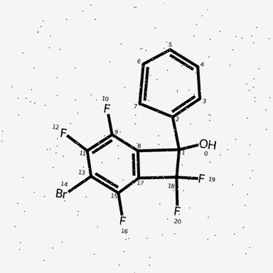 OC1(c2ccccc2)c2c(F)c(F)c(Br)c(F)c2C1(F)F